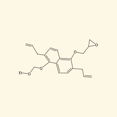 C=CCc1ccc2c(OCC3CO3)c(CC=C)ccc2c1OCOCC